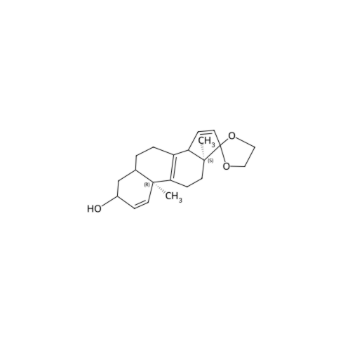 C[C@]12CCC3=C(CCC4CC(O)C=C[C@]34C)C1C=CC21OCCO1